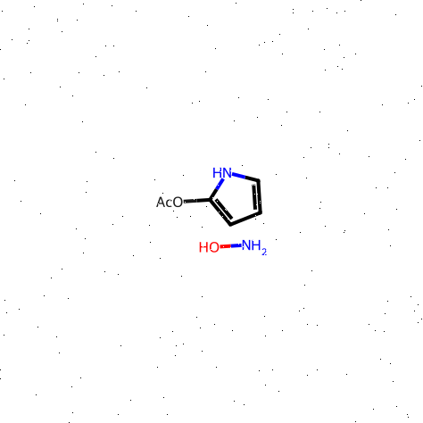 CC(=O)Oc1ccc[nH]1.NO